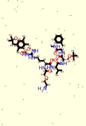 CNC(=O)[C@H](Cc1ccccc1)NC(=O)[C@H](COC(C)(C)C)NC(=O)[C@@H](NC(=O)[C@H](CCCNC(=N)NS(=O)(=O)c1c(C)c(C)c2c(c1C)CC(C)(C)O2)NC(=O)COCCN)C(C)C